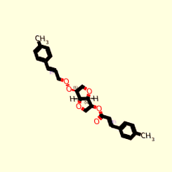 Cc1ccc(/C=C/COO[C@H]2CO[C@H]3C(OC(=O)/C=C/c4ccc(C)cc4)CO[C@@H]23)cc1